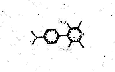 CCOC(=O)c1c(C)nc(C)c(C(=O)OCC)c1-c1ccc(N(C)C)cc1